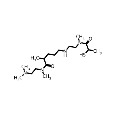 CC(S)C(=O)N(C)CCNCCCC(C)C(=O)N(C)CCN(C)C